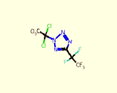 FC(F)(F)C(F)(F)c1nnn(C(Cl)(Cl)C(Cl)(Cl)Cl)n1